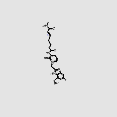 CN(C)C(=O)/C=C/CCCC(=O)Nc1cccn(Cc2nc3cc(F)cc(CC(C)(C)C)c3[nH]2)c1=O